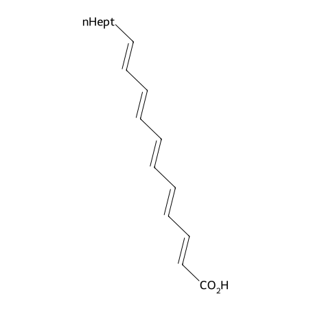 CCCCCCCC=CC=CC=CC=CC=CC(=O)O